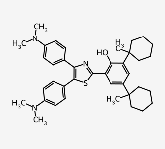 CN(C)c1ccc(-c2nc(-c3cc(C4(C)CCCCC4)cc(C4(C)CCCCC4)c3O)sc2-c2ccc(N(C)C)cc2)cc1